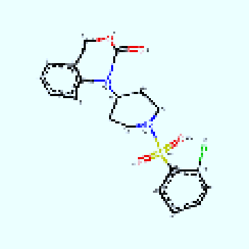 O=C1OCc2ccccc2N1C1CCN(S(=O)(=O)c2ccccc2Cl)CC1